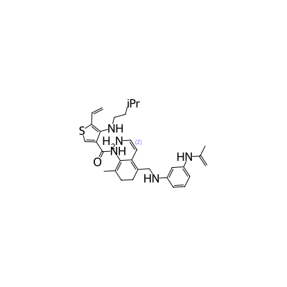 C=Cc1scc(C(=O)NC2=C(C)CCC(CNc3cccc(NC(=C)C)c3)=C2/C=C\N)c1NCCC(C)C